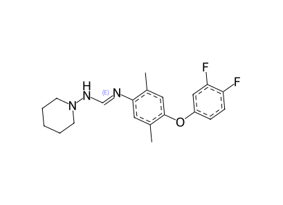 Cc1cc(Oc2ccc(F)c(F)c2)c(C)cc1/N=C/NN1CCCCC1